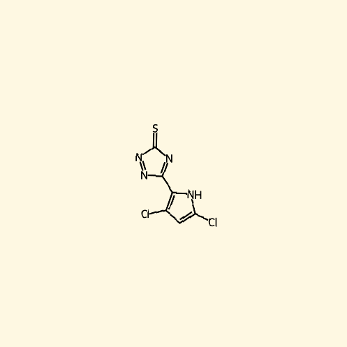 S=C1N=NC(c2[nH]c(Cl)cc2Cl)=N1